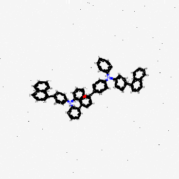 c1ccc(N(c2ccc(-c3ccc(-c4ccccc4N(c4ccccc4)c4ccc(-c5cccc6ccccc56)cc4)cc3)cc2)c2ccc(-c3cccc4ccccc34)cc2)cc1